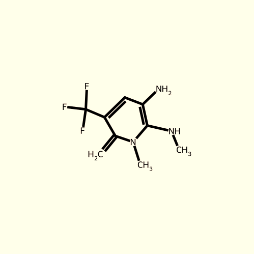 C=C1C(C(F)(F)F)=CC(N)=C(NC)N1C